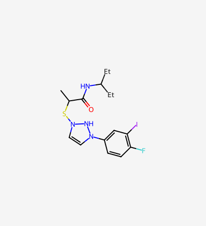 CCC(CC)NC(=O)C(C)SN1C=CN(c2ccc(F)c(I)c2)N1